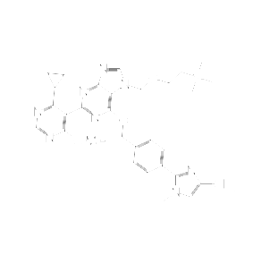 COc1ncnc(C2CC2)c1-c1nc(OCc2ccc(-c3nc(C(F)(F)F)cn3C)cc2)c2c(ncn2COCC[Si](C)(C)C)n1